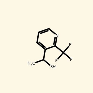 CC(S)c1cccnc1C(F)(F)F